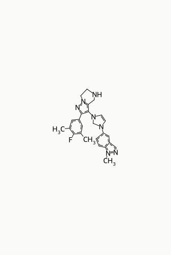 Cc1cc(-c2nn3c(c2N2C=CN(c4ccc5c(cnn5C)c4)C2)CNCC3)cc(C)c1F